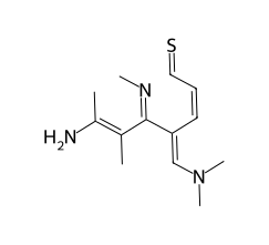 C/N=C(C(/C=C\C=S)=C/N(C)C)\C(C)=C(/C)N